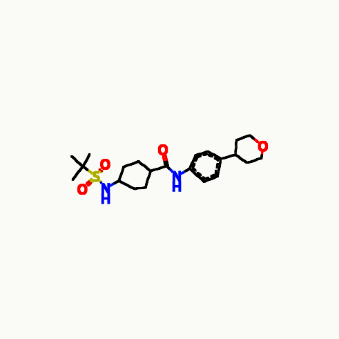 CC(C)(C)S(=O)(=O)NC1CCC(C(=O)Nc2ccc(C3CCOCC3)cc2)CC1